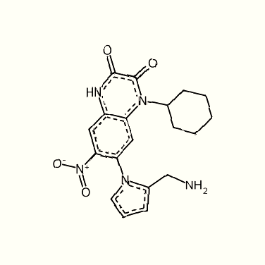 NCc1cccn1-c1cc2c(cc1[N+](=O)[O-])[nH]c(=O)c(=O)n2C1CCCCC1